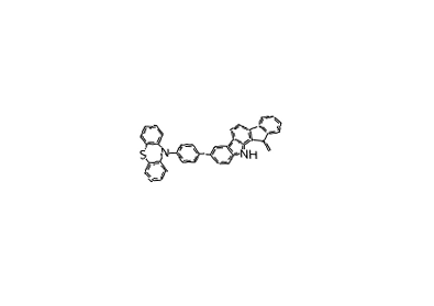 C=C1c2ccccc2-c2ccc3c([nH]c4ccc(-c5ccc(N6c7ccccc7Sc7ccccc76)cc5)cc43)c21